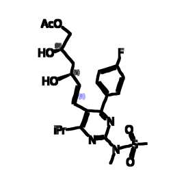 CC(=O)OC[C@H](O)C[C@H](O)/C=C/c1c(-c2ccc(F)cc2)nc(N(C)S(C)(=O)=O)nc1C(C)C